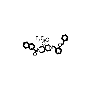 O=C(c1ccc2ccccc2c1)N1CCC2(CCN(Cc3ccccc3OCc3ccccc3)CC2OC(=O)C(F)(F)F)CC1